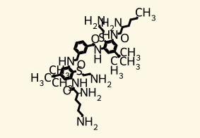 CCCC[C@@H](N)C(=O)Nc1cc(C(C)(C)C)cc(NC(=O)c2cccc(C(=O)Nc3cc(C(C)(C)C)cc(NC(=O)[C@H](N)CCCCN)c3SCCN)c2)c1SCCN